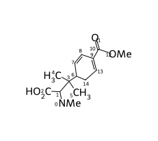 CNC(C(=O)O)C(C)(C)C1C=CC(C(=O)OC)=CC1